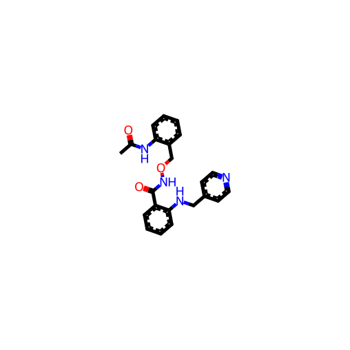 CC(=O)Nc1ccccc1CONC(=O)c1ccccc1NCc1ccncc1